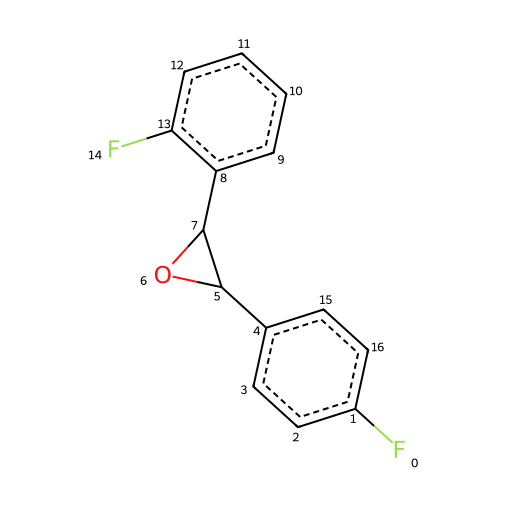 Fc1ccc(C2OC2c2ccccc2F)cc1